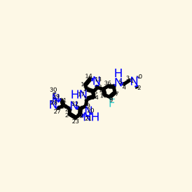 CN(C)CCNc1cc(F)cc(-c2nccc3[nH]c(-c4n[nH]c5ccc(-c6cnn(C)c6)nc45)cc23)c1